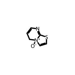 [O-][N+]12C=CSC1=NC=CC2